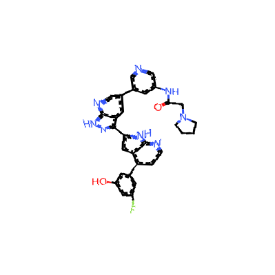 O=C(CN1CCCC1)Nc1cncc(-c2cnc3[nH]nc(-c4cc5c(-c6cc(O)cc(F)c6)ccnc5[nH]4)c3c2)c1